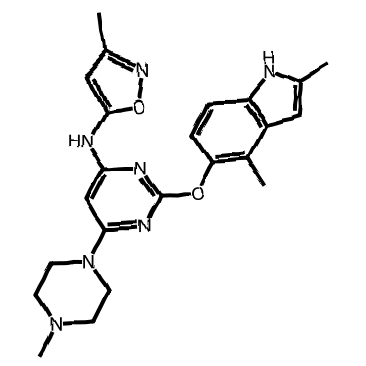 Cc1cc(Nc2cc(N3CCN(C)CC3)nc(Oc3ccc4[nH]c(C)cc4c3C)n2)on1